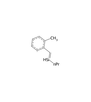 CCC[SiH]=Cc1[c]cccc1C